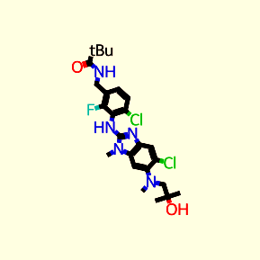 CN(CC(C)(C)O)c1cc2c(cc1Cl)nc(Nc1c(Cl)ccc(CNC(=O)C(C)(C)C)c1F)n2C